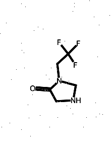 O=C1CNCN1CC(F)(F)F